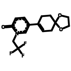 O=c1ccc(C2=CCC3(CC2)OCCO3)cn1CC(F)(F)F